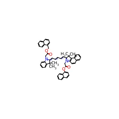 CC1(C)C(/C=C/C=C/C=C2/N(CC(=O)OCc3cccc4ccccc34)c3ccccc3C2(C)C)=[N+](CC(=O)Oc2cccc3ccccc23)c2ccc3ccccc3c21